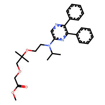 COC(=O)COCC(C)(C)OCCN(c1cnc(-c2ccccc2)c(-c2ccccc2)n1)C(C)C